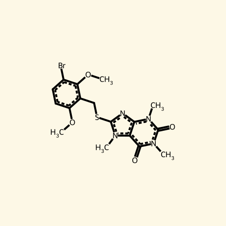 COc1ccc(Br)c(OC)c1CSc1nc2c(c(=O)n(C)c(=O)n2C)n1C